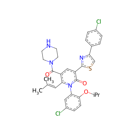 CC(C)=Cc1c(C(=O)N2CCNCC2)cc(-c2nc(-c3ccc(Cl)cc3)cs2)c(=O)n1-c1cc(Cl)ccc1OC(C)C